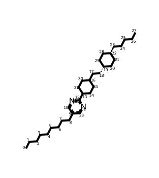 CCCCCCCCCc1cnc(C2CCC(CC[C@H]3CC[C@H](CCCCC)CC3)CC2)nc1